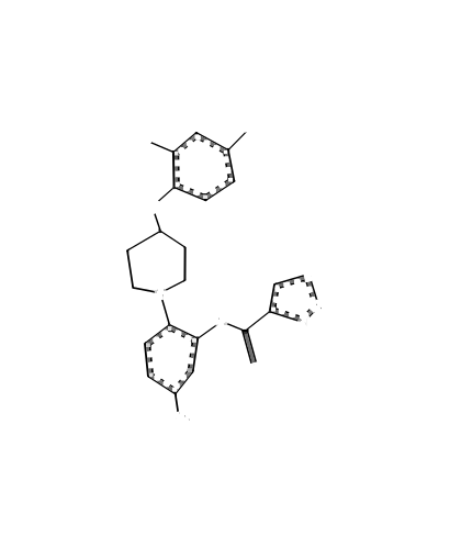 N#Cc1ccc(N2CCC(Oc3ccc(F)cc3F)CC2)c(NC(=O)c2csnn2)c1